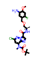 COc1cc(F)c(COC[C@@H](C)NC(=O)c2cnc3c(N(C)C(=O)OC(C)(C)C)cc(Cl)nn23)cc1N